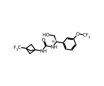 O=C(N[C@@H](CO)c1cccc(OC(F)(F)F)c1)NC12CC(C(F)(F)F)(C1)C2